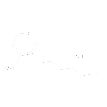 COc1ccccc1CSC[C@H](N)CO